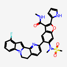 CNC(=O)c1c(-c2ccc[nH]2)oc2cc(N(C)S(C)(=O)=O)c(-c3ccc4c(n3)-c3cc5c(F)cccc5n3CC4)cc12